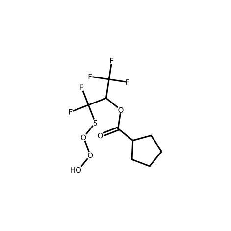 O=C(OC(C(F)(F)F)C(F)(F)SOOO)C1CCCC1